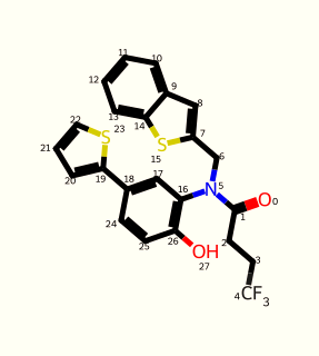 O=C(CCC(F)(F)F)N(Cc1cc2ccccc2s1)c1cc(-c2cccs2)ccc1O